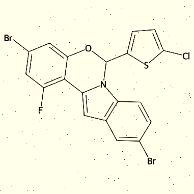 Fc1cc(Br)cc2c1-c1cc3cc(Br)ccc3n1C(c1ccc(Cl)s1)O2